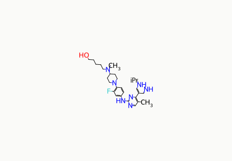 Cc1cnc(Nc2ccc(N3CCC(N(C)CCCCCO)CC3)c(F)c2)nc1/C(C=N)=C/NC(C)C